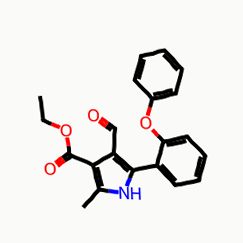 CCOC(=O)c1c(C)[nH]c(-c2ccccc2Oc2ccccc2)c1C=O